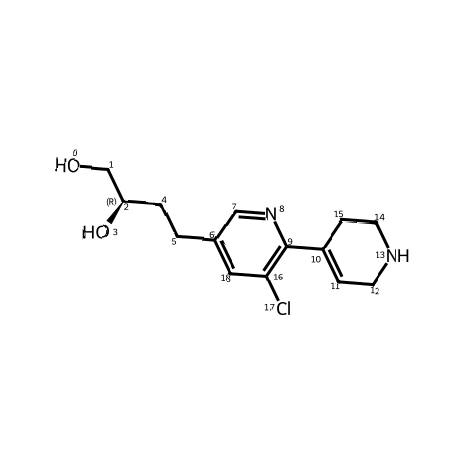 OC[C@H](O)CCc1cnc(C2=CCNCC2)c(Cl)c1